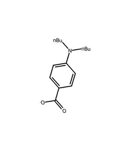 CCCCN(CCCC)c1ccc(C([O])=O)cc1